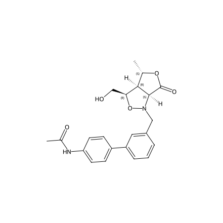 CC(=O)Nc1ccc(-c2cccc(CN3O[C@@H](CO)[C@H]4[C@H](C)OC(=O)[C@H]43)c2)cc1